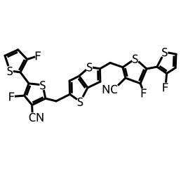 N#Cc1c(Cc2cc3sc(Cc4sc(-c5sccc5F)c(F)c4C#N)cc3s2)sc(-c2sccc2F)c1F